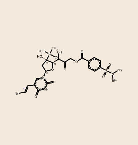 CCCN(CCC)S(=O)(=O)c1ccc(C(=O)OCC(=O)C(O)[C@H]2O[C@@H](n3cc(/C=C/Br)c(=O)[nH]c3=O)C[C@@]2(O)[Si](C)(C)C)cc1